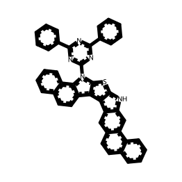 c1ccc(-c2nc(-c3ccccc3)nc(-n3c4sc5[nH]c6cc7c(ccc8ccccc87)cc6c5c4c4ccc5ccccc5c43)n2)cc1